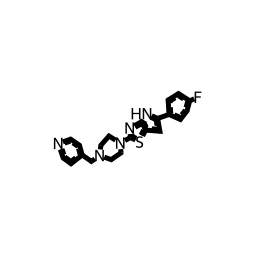 Fc1ccc(-c2cc3sc(N4CCN(Cc5ccncc5)CC4)nc3[nH]2)cc1